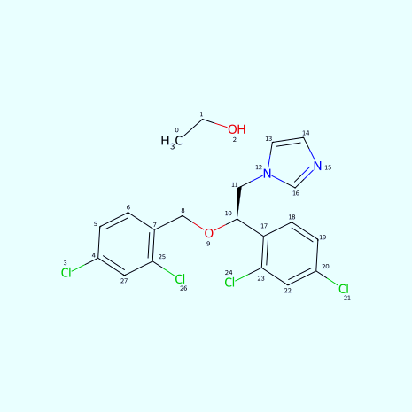 CCO.Clc1ccc(CO[C@@H](Cn2ccnc2)c2ccc(Cl)cc2Cl)c(Cl)c1